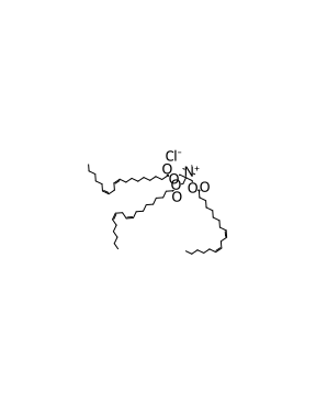 CCCCC/C=C\C/C=C\CCCCCCCC(=O)OCC(COC(=O)CCCCCCC/C=C\C/C=C\CCCCC)(COC(=O)CCCCCCC/C=C\C/C=C\CCCCC)[N+](C)(C)C.[Cl-]